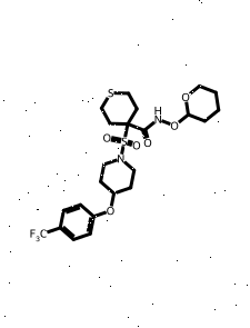 O=C(NOC1CCCCO1)C1(S(=O)(=O)N2CCC(Oc3ccc(C(F)(F)F)cc3)CC2)CCSCC1